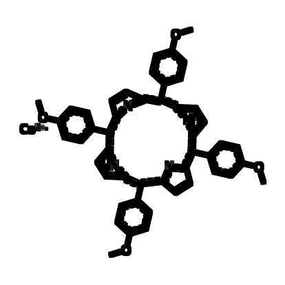 COc1ccc(-c2c3nc(c(-c4ccc(OC)cc4)c4ccc([nH]4)c(-c4ccc(OC)cc4)c4nc(c(-c5ccc(OC)cc5)c5ccc2[nH]5)C=C4)C=C3)cc1.[Co+2]